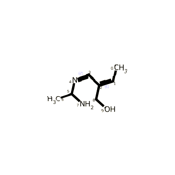 C/C=C(\C=N/C(C)N)CO